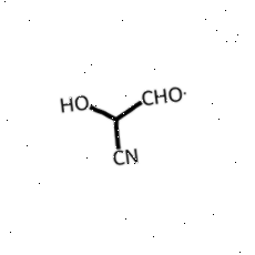 N#CC(O)[C]=O